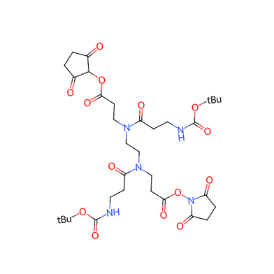 CC(C)(C)OC(=O)NCCC(=O)N(CCC(=O)OC1C(=O)CCC1=O)CCN(CCC(=O)ON1C(=O)CCC1=O)C(=O)CCNC(=O)OC(C)(C)C